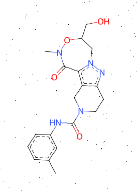 Cc1cccc(NC(=O)N2CCc3nn4c(c3C2)C(=O)N(C)OC(CO)C4)c1